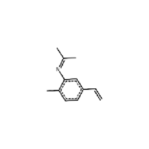 C=Cc1ccc(C)c(N=C(C)C)c1